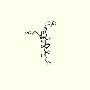 CCOC(=O)/C=C/CC[C@H](NC(=O)CCC(=O)O)C(=O)Nc1cccn(CC(=O)NCCC(C)C)c1=O